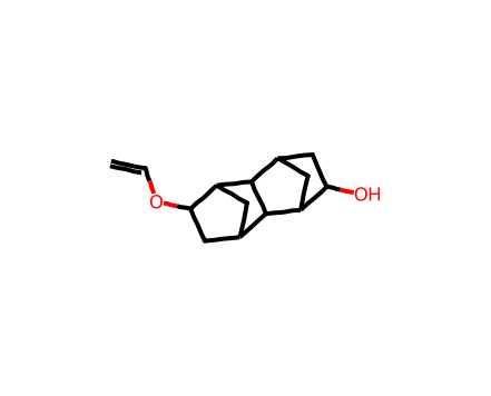 C=COC1CC2CC1C1C3CC(O)C(C3)C21